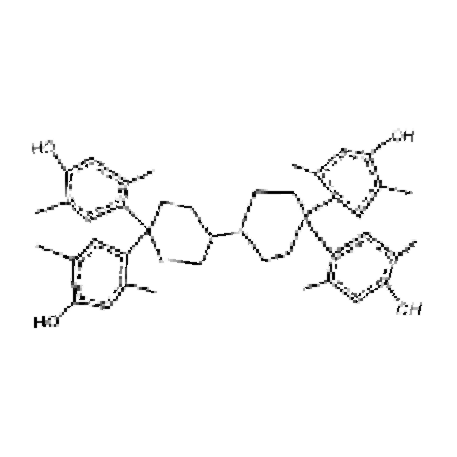 Cc1cc(C2(c3cc(C)c(O)cc3C)CCC(C3CCC(c4cc(C)c(O)cc4C)(c4cc(C)c(O)cc4C)CC3)CC2)c(C)cc1O